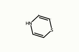 [C]1=[C]SC=CN1